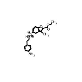 CCOC(=O)c1oc2ccc(S(=O)(=O)NCCc3ccc(N)cc3)cc2c1C